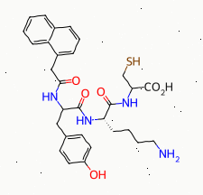 NCCCC[C@H](NC(=O)C(Cc1ccc(O)cc1)NC(=O)Cc1cccc2ccccc12)C(=O)NC(CS)C(=O)O